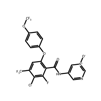 O=C(Nc1cnc[n+]([O-])c1)c1c(Oc2ccc(OC(F)(F)F)cc2)cc(C(F)(F)F)c(Cl)c1F